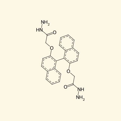 NNC(=O)COc1ccc2ccccc2c1-c1c(OCC(=O)NN)ccc2ccccc12